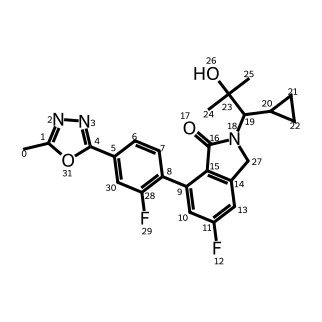 Cc1nnc(-c2ccc(-c3cc(F)cc4c3C(=O)N(C(C3CC3)C(C)(C)O)C4)c(F)c2)o1